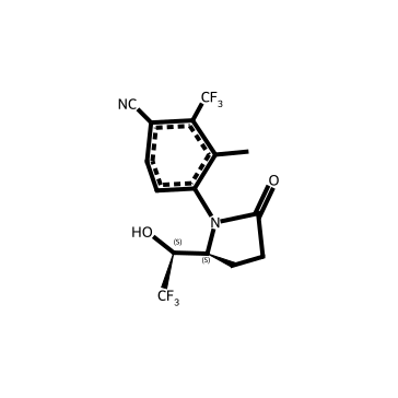 Cc1c(N2C(=O)CC[C@H]2[C@H](O)C(F)(F)F)ccc(C#N)c1C(F)(F)F